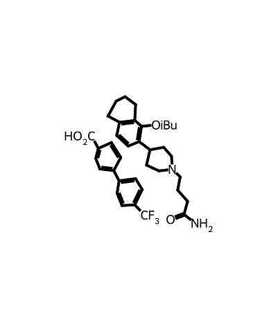 CC(C)COc1c(C2CCN(CCCC(N)=O)CC2)ccc2c1CCCC2.O=C(O)c1ccc(-c2ccc(C(F)(F)F)cc2)cc1